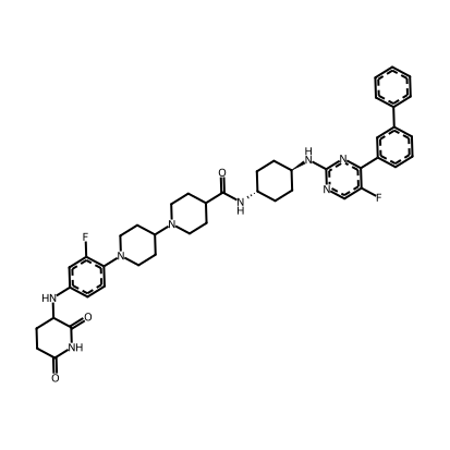 O=C1CCC(Nc2ccc(N3CCC(N4CCC(C(=O)N[C@H]5CC[C@H](Nc6ncc(F)c(-c7cccc(-c8ccccc8)c7)n6)CC5)CC4)CC3)c(F)c2)C(=O)N1